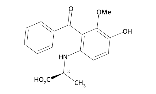 COc1c(O)ccc(N[C@@H](C)C(=O)O)c1C(=O)c1ccccc1